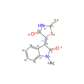 CC(=O)N1C(=O)/C(=C2\SC(=S)NC2=O)c2ccccc21